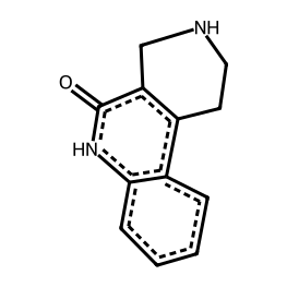 O=c1[nH]c2ccccc2c2c1CNCC2